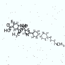 CCCCC[C@H]1CC[C@H](c2ccc(-c3ncc(S(=O)(=O)Nc4cc(F)c(C(=O)O)cc4OC)s3)cc2)CC1